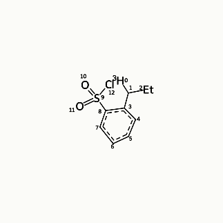 [3H]C(CC)c1ccccc1S(=O)(=O)Cl